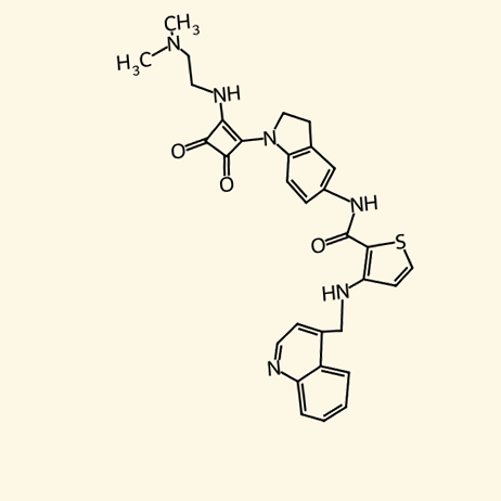 CN(C)CCNc1c(N2CCc3cc(NC(=O)c4sccc4NCc4ccnc5ccccc45)ccc32)c(=O)c1=O